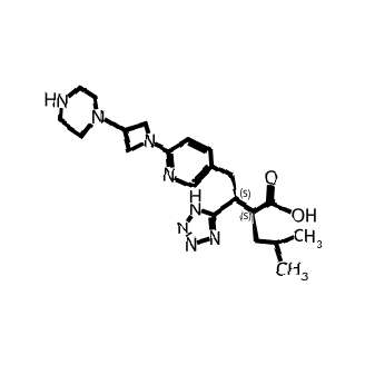 CC(C)C[C@H](C(=O)O)[C@H](Cc1ccc(N2CC(N3CCNCC3)C2)nc1)c1nnn[nH]1